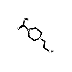 CC(C)(C)C(=O)N1CCN(CCC#N)CC1